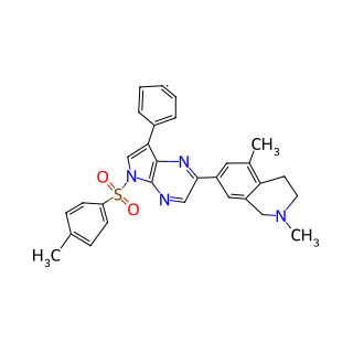 Cc1ccc(S(=O)(=O)n2cc(-c3cc[c]cc3)c3nc(-c4cc(C)c5c(c4)CN(C)CC5)cnc32)cc1